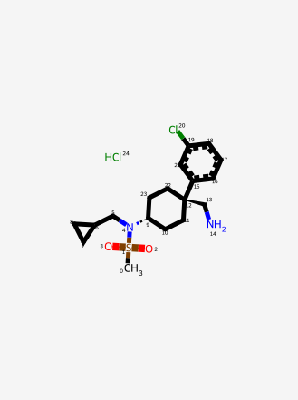 CS(=O)(=O)N(CC1CC1)[C@H]1CC[C@@](CN)(c2cccc(Cl)c2)CC1.Cl